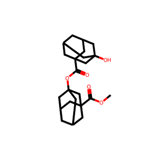 COC(=O)C12CC3CC(CC(OC(=O)C45CC6CC(CC(O)(C6)C4)C5)(C3)C1)C2